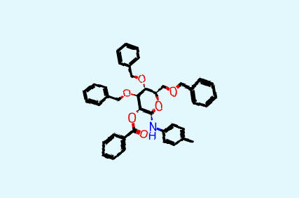 Cc1ccc(N[C@H]2O[C@H](COCc3ccccc3)[C@@H](OCc3ccccc3)[C@H](OCc3ccccc3)[C@H]2OC(=O)c2ccccc2)cc1